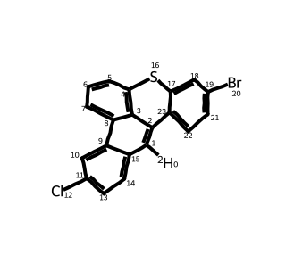 [2H]c1c2c3c(cccc3c3cc(Cl)ccc13)Sc1cc(Br)ccc1-2